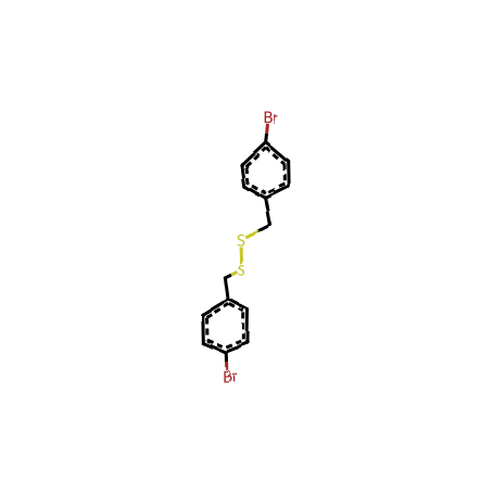 Brc1ccc(CSSCc2ccc(Br)cc2)cc1